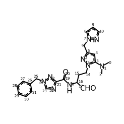 CN(C)c1cc(Cn2cccn2)nn1CCC(C=O)NC(=O)c1ncn(Cc2ccccc2)n1